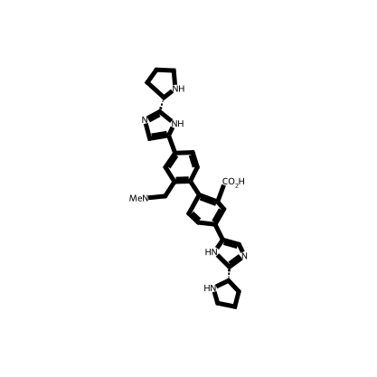 CNCc1cc(-c2cnc([C@@H]3CCCN3)[nH]2)ccc1-c1ccc(-c2cnc([C@@H]3CCCN3)[nH]2)cc1C(=O)O